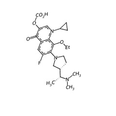 CCOc1c(N2CC[C@H]([C@@H](C)N(C)C)C2)c(F)cc2c(=O)c(OC(=O)O)cn(C3CC3)c12